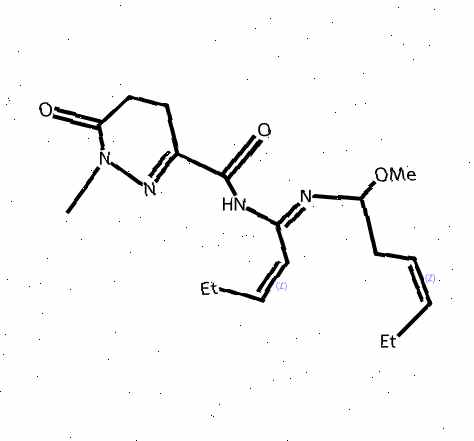 CC/C=C\CC(N=C(/C=C\CC)NC(=O)C1=NN(C)C(=O)CC1)OC